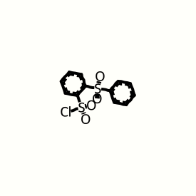 O=S(=O)(Cl)c1ccccc1S(=O)(=O)c1ccccc1